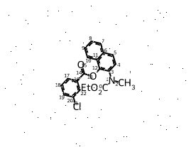 CCOC(=O)N(C)c1ccc2ccccc2c1OC(=O)c1cccc(Cl)c1